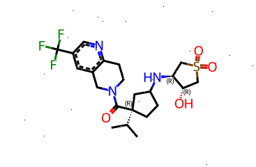 CC(C)[C@@]1(C(=O)N2CCc3ncc(C(F)(F)F)cc3C2)CCC(N[C@H]2CS(=O)(=O)C[C@@H]2O)C1